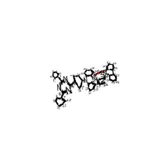 c1ccc(-c2nc(-c3ccccc3)nc(-c3ccc(N4c5ccccc5[Si]5(c6ccccc64)c4ccccc4[Si]4(c6ccccc6-c6ccccc64)c4ccccc45)cc3)n2)cc1